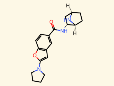 O=C(N[C@@H]1C[C@H]2CC[C@@H]1N2)c1ccc2oc(N3CCCC3)cc2c1